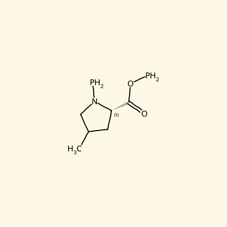 CC1C[C@@H](C(=O)OP)N(P)C1